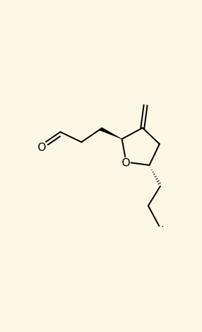 [CH2]CC[C@H]1CC(=C)[C@H](CCC=O)O1